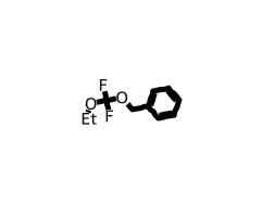 CCOC(F)(F)OCc1ccccc1